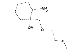 CSCCOCC1(O)CCCCC1N